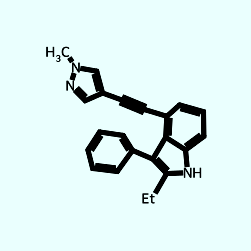 CCc1[nH]c2cccc(C#Cc3cnn(C)c3)c2c1-c1ccccc1